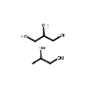 CC(O)CO.OCC(O)CO